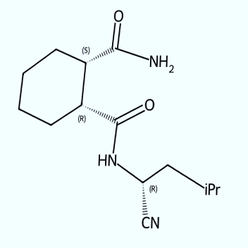 CC(C)C[C@H](C#N)NC(=O)[C@@H]1CCCC[C@@H]1C(N)=O